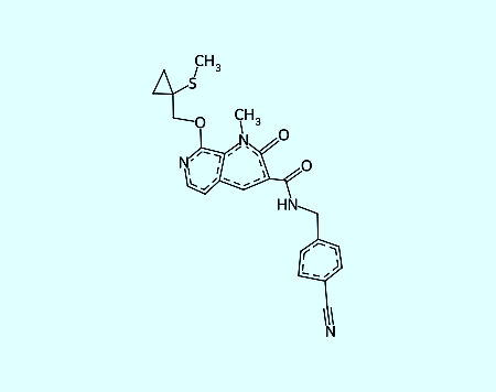 CSC1(COc2nccc3cc(C(=O)NCc4ccc(C#N)cc4)c(=O)n(C)c23)CC1